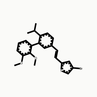 COc1cccc(-c2cc(C=Cc3cc(Br)cs3)ccc2C(C)C)c1OC